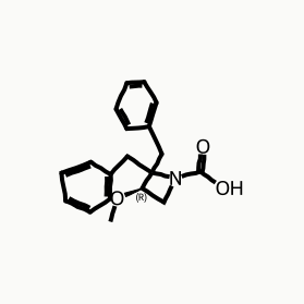 CO[C@@H]1CN(C(=O)O)C1(Cc1ccccc1)Cc1ccccc1